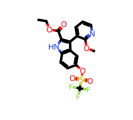 CCOC(=O)c1[nH]c2ccc(OS(=O)(=O)C(F)(F)F)cc2c1-c1cccnc1OC